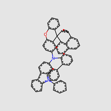 c1ccc(-c2ccccc2N(c2ccc3c(c2)C2(c4ccccc4O3)c3ccccc3-c3cccc4cccc2c34)c2ccc3c4ccccc4n(-c4ccccc4)c3c2)cc1